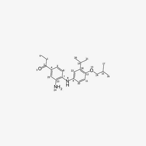 CCC(=O)c1ccc(Nc2ccc(OCC(C)C)c(C(C)C)c2)c(N)c1